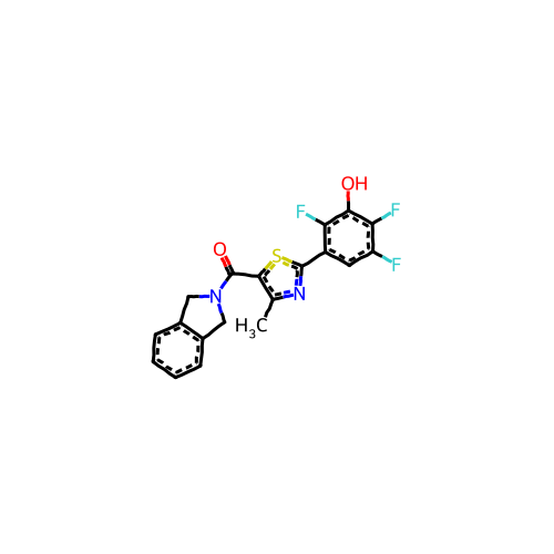 Cc1nc(-c2cc(F)c(F)c(O)c2F)sc1C(=O)N1Cc2ccccc2C1